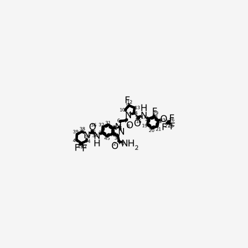 NC(=O)c1nn(CC(=O)N2C[C@H](F)C[C@H]2C(=O)Nc2cccc(OC(F)(F)F)c2F)c2ccc(NC(=O)N3CCCC(F)(F)C3)cc12